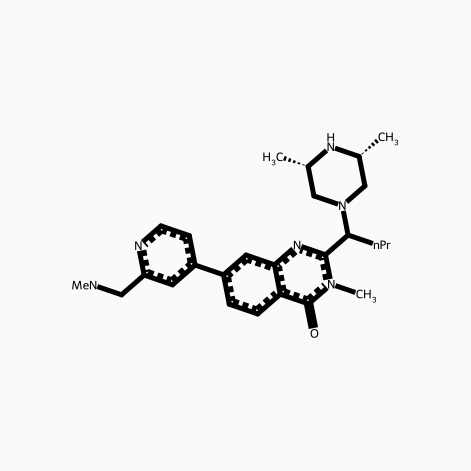 CCCC(c1nc2cc(-c3ccnc(CNC)c3)ccc2c(=O)n1C)N1C[C@@H](C)N[C@@H](C)C1